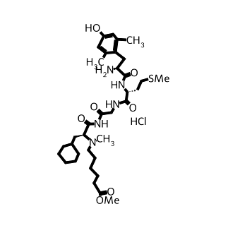 COC(=O)CCCCCN(C)[C@@H](CC1CCCCC1)C(=O)NC(=O)CNC(=O)[C@@H](CCSC)NC(=O)[C@@H](N)Cc1c(C)cc(O)cc1C.Cl